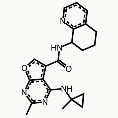 Cc1nc(NC2(C)CC2)c2c(C(=O)NC3CCCc4cccnc43)coc2n1